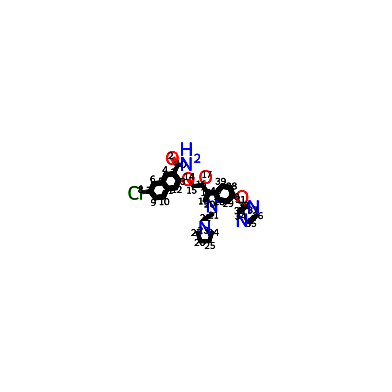 NC(=O)c1cc2cc(Cl)ccc2cc1OCC(=O)c1cn(CCN2CCCC2)c2cc(Oc3cnccn3)ccc12